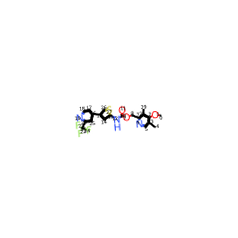 COc1c(C)cnc(COC(=O)Nc2cc(-c3ccnc(C(F)(F)F)c3)cs2)c1C